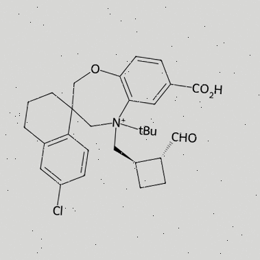 CC(C)(C)[N+]1(C[C@@H]2CC[C@H]2C=O)CC2(CCCc3cc(Cl)ccc32)COc2ccc(C(=O)O)cc21